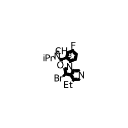 CCc1cncc2c1c(Br)cn2-c1ccc(F)cc1C(=O)N(C)C(C)C